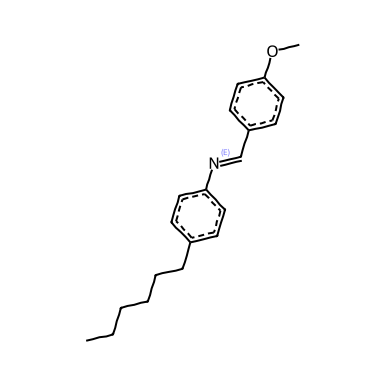 CCCCCCc1ccc(/N=C/c2ccc(OC)cc2)cc1